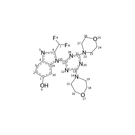 Oc1ccc2nc(C(F)F)n(-c3nc(N4CCOCC4)nc(N4CCOCC4)n3)c2c1